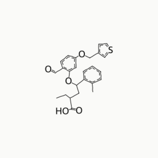 CCC(CC(Oc1cc(OCc2ccsc2)ccc1C=O)c1ccccc1C)C(=O)O